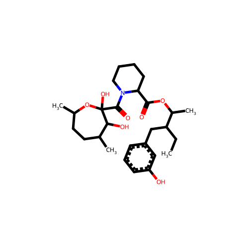 CCC(Cc1cccc(O)c1)C(C)OC(=O)C1CCCCN1C(=O)C1(O)OC(C)CCC(C)C1O